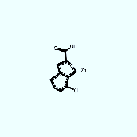 O=C(O)c1ccc2c(Cl)cccc2c1.[Zn]